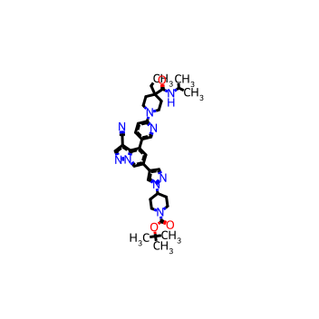 CCC1(C(=O)NC(C)C)CCN(c2ccc(-c3cc(-c4cnn(C5CCN(C(=O)OC(C)(C)C)CC5)c4)cn4ncc(C#N)c34)cn2)CC1